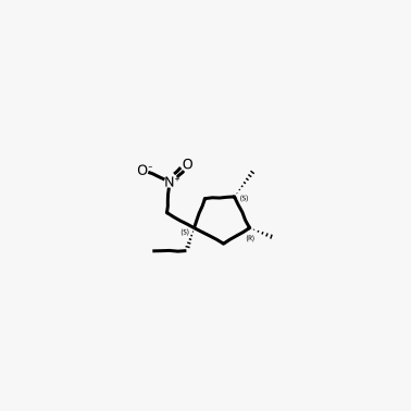 CC[C@@]1(C[N+](=O)[O-])C[C@@H](C)[C@@H](C)C1